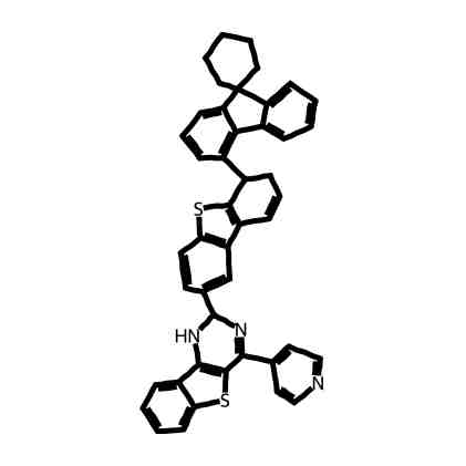 C1=Cc2c(sc3ccc(C4N=C(c5ccncc5)c5sc6ccccc6c5N4)cc23)C(c2cccc3c2-c2ccccc2C32CCCCC2)C1